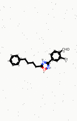 CCc1cc(-c2noc(CCCCc3ccccc3)n2)ccc1C=O